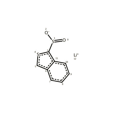 O=S([O-])c1scc2ccccc12.[Li+]